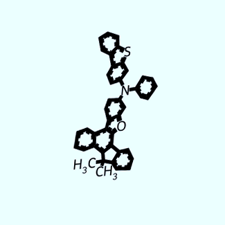 CC1(C)c2ccccc2-c2c1c1ccccc1c1c2oc2cc(N(c3ccccc3)c3ccc4c(c3)sc3ccccc34)ccc21